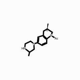 CC(=O)N1C[C@H](C)Cc2cc(N3CCNC(C)C3)ccc21